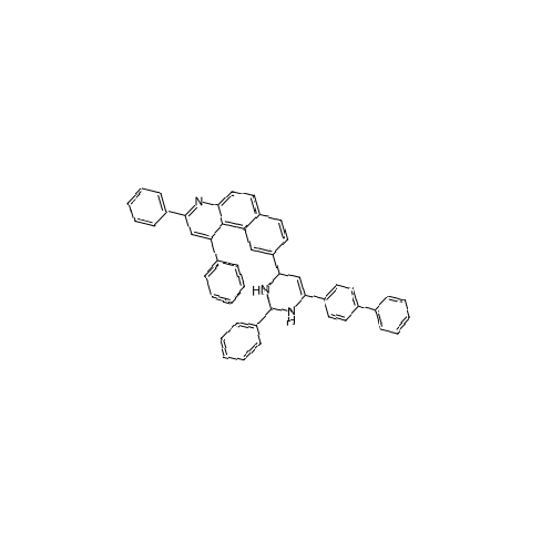 C1=C(c2ccc(-c3ccccc3)cc2)NC(c2ccccc2)NC1c1ccc2ccc3nc(-c4ccccc4)cc(-c4ccccc4)c3c2c1